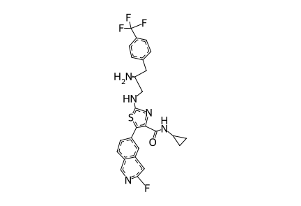 N[C@H](CNc1nc(C(=O)NC2CC2)c(-c2ccc3cnc(F)cc3c2)s1)Cc1ccc(C(F)(F)F)cc1